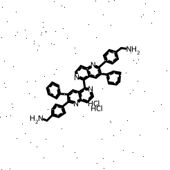 Cl.Cl.NCc1ccc(-c2nc3ccnc(-c4nccc5nc(-c6ccc(CN)cc6)c(-c6ccccc6)cc45)c3cc2-c2ccccc2)cc1